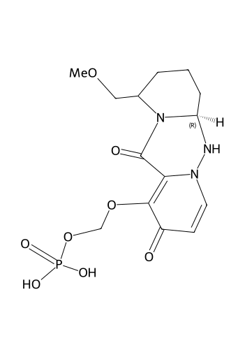 COCC1CCC[C@H]2Nn3ccc(=O)c(OCOP(=O)(O)O)c3C(=O)N12